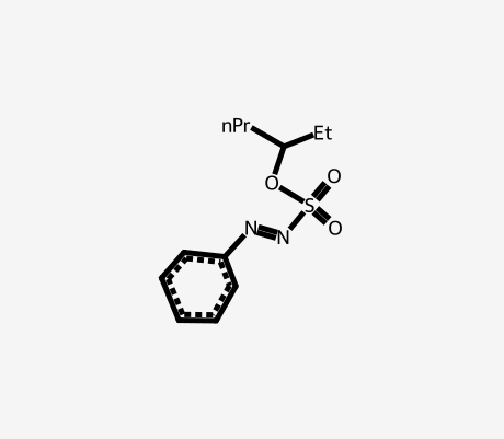 CCCC(CC)OS(=O)(=O)N=Nc1ccccc1